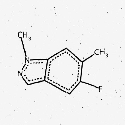 Cc1cc2c(cnn2C)cc1F